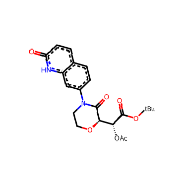 CC(=O)O[C@@H](C(=O)OC(C)(C)C)[C@H]1OCCN(c2ccc3ccc(=O)[nH]c3c2)C1=O